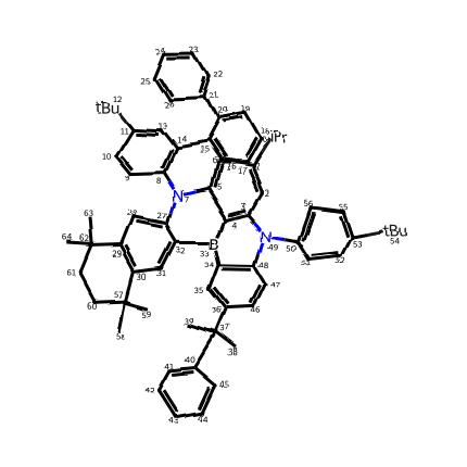 CC(C)c1cc2c3c(c1)N(c1ccc(C(C)(C)C)cc1-c1ccccc1-c1ccccc1)c1cc4c(cc1B3c1cc(C(C)(C)c3ccccc3)ccc1N2c1ccc(C(C)(C)C)cc1)C(C)(C)CCC4(C)C